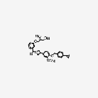 COC1=CC(C2CN(C(=O)c3cc(OC[C@H](O)CO)ccn3)C2)CC=C1OCc1ccc(C2CC2)cc1